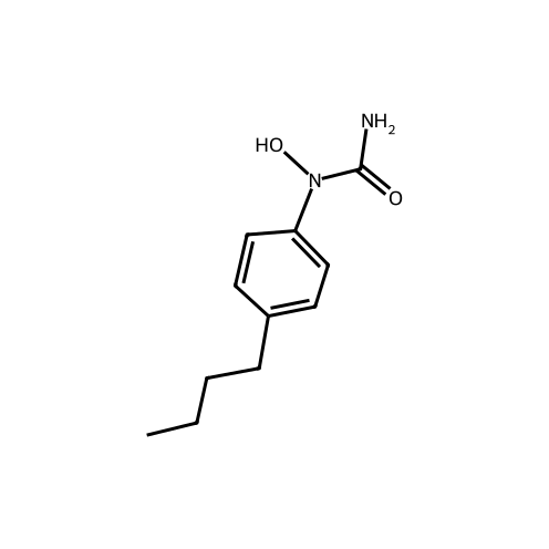 CCCCc1ccc(N(O)C(N)=O)cc1